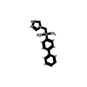 C[Si](C)(CN1C=NNC1)c1ccc(-c2ccccc2)cc1